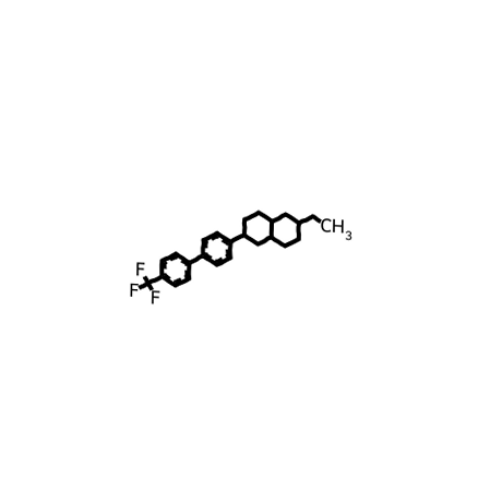 CCC1CCC2CC(c3ccc(-c4ccc(C(F)(F)F)cc4)cc3)CCC2C1